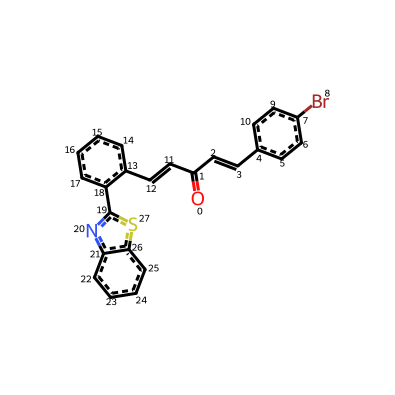 O=C(C=Cc1ccc(Br)cc1)C=Cc1ccccc1-c1nc2ccccc2s1